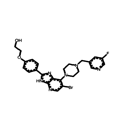 OCCOc1ccc(-c2nc3c(N4CCN(Cc5cncc(F)c5)CC4)c(Br)cnc3[nH]2)cc1